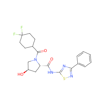 O=C(Nc1nc(-c2ccccc2)ns1)[C@@H]1C[C@@H](O)CN1C(=O)C1CCC(F)(F)CC1